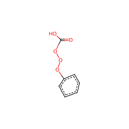 O=C(O)OOOc1ccccc1